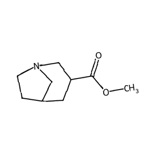 COC(=O)C1CC2CCN(C2)C1